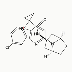 N#Cc1ccc(N2[C@@H]3CC[C@H]2C[C@@H](NC(=O)C2(c4ccc(Cl)cc4)CC2)C3)nc1